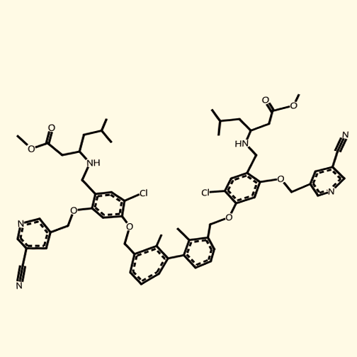 COC(=O)CC(CC(C)C)NCc1cc(Cl)c(OCc2cccc(-c3cccc(COc4cc(OCc5cncc(C#N)c5)c(CNC(CC(=O)OC)CC(C)C)cc4Cl)c3C)c2C)cc1OCc1cncc(C#N)c1